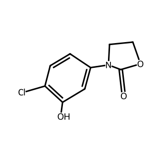 O=C1OCCN1c1ccc(Cl)c(O)c1